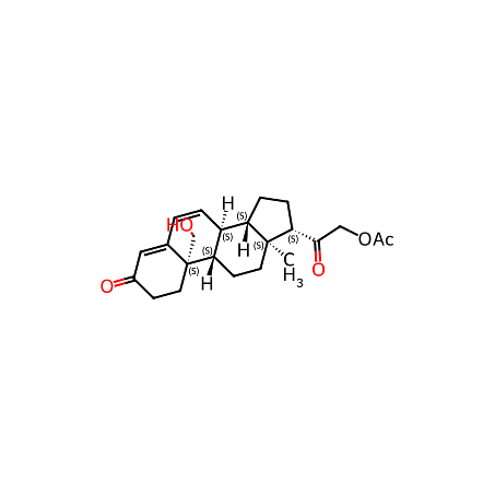 CC(=O)OCC(=O)[C@H]1CC[C@H]2[C@@H]3C=CC4=CC(=O)CC[C@]4(CO)[C@H]3CC[C@]12C